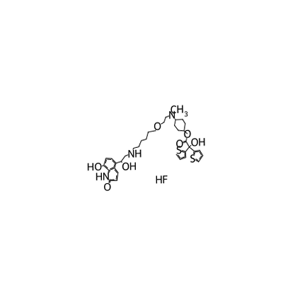 CN(CCOCCCCCCNC[C@@H](O)c1ccc(O)c2[nH]c(=O)ccc12)C1CCC(OC(=O)C(O)(c2cccs2)c2cccs2)CC1.F